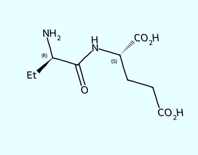 CC[C@@H](N)C(=O)N[C@@H](CCC(=O)O)C(=O)O